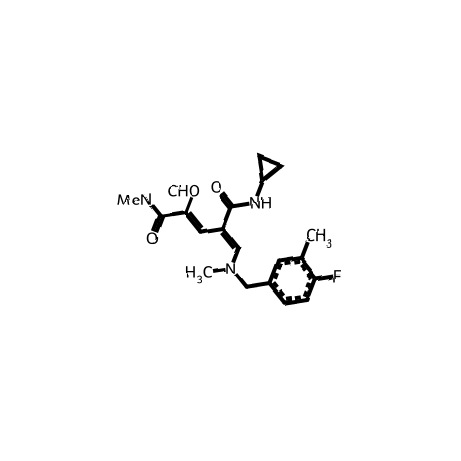 CNC(=O)/C(C=O)=C/C(=C\N(C)Cc1ccc(F)c(C)c1)C(=O)NC1CC1